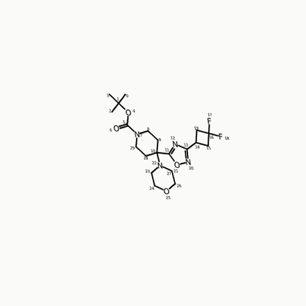 CC(C)(C)OC(=O)N1CCC(c2nc(C3CC(F)(F)C3)no2)(N2CCOCC2)CC1